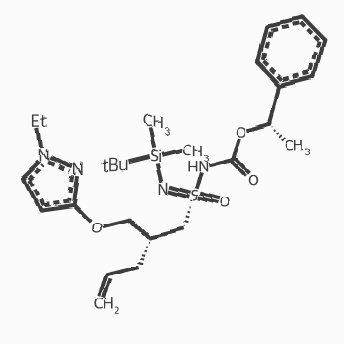 C=CC[C@H](COc1ccn(CC)n1)C[S@](=O)(=N[Si](C)(C)C(C)(C)C)NC(=O)O[C@@H](C)c1ccccc1